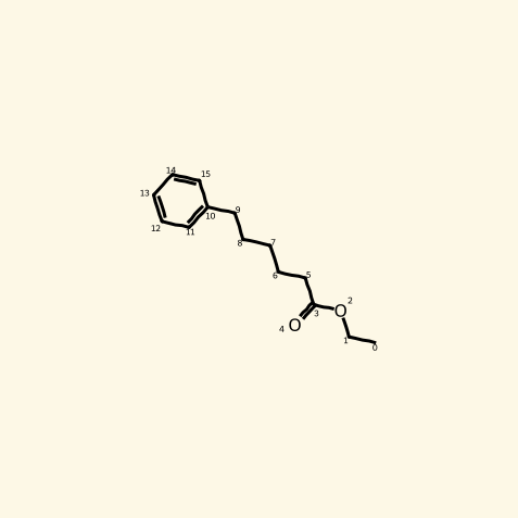 CCOC(=O)CCCCCc1ccccc1